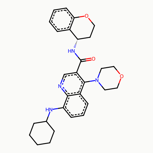 O=C(N[C@H]1CCOc2ccccc21)c1cnc2c(NC3CCCCC3)cccc2c1N1CCOCC1